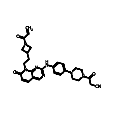 C=CC(=O)N1CC(CCn2c(=O)ccc3cnc(Nc4ccc(N5CCN(C(=O)CC#N)CC5)cc4)nc32)C1